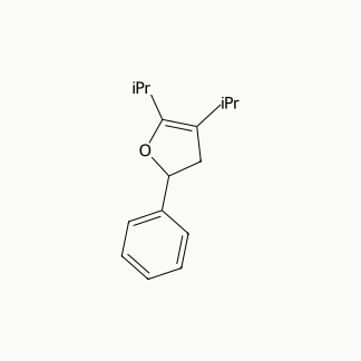 CC(C)C1=C(C(C)C)OC(c2ccccc2)C1